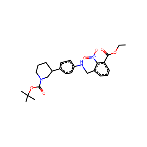 CCOC(=O)c1cccc(CNc2ccc(C3CCCN(C(=O)OC(C)(C)C)C3)cc2)c1[N+](=O)[O-]